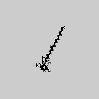 CCCCCCCCCCCCCCCCCCC(=O)Nc1cc(C)ccc1O